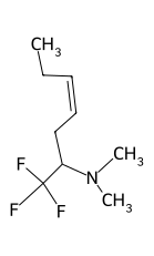 CC/C=C\CC(N(C)C)C(F)(F)F